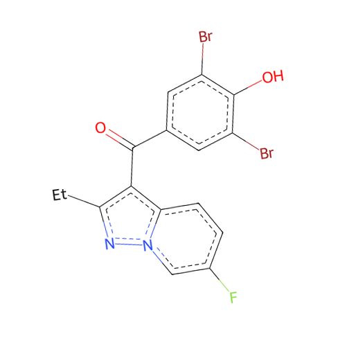 CCc1nn2cc(F)ccc2c1C(=O)c1cc(Br)c(O)c(Br)c1